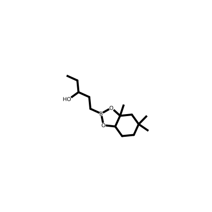 CCC(O)CCB1OC2CCC(C)(C)CC2(C)O1